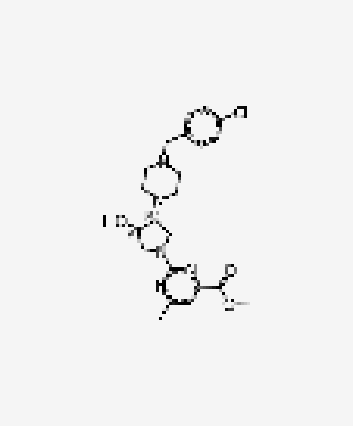 COC(=O)c1cc(C)nc(N2C[C@@H](O)[C@H](N3CCN(Cc4ccc(Cl)cc4)CC3)C2)n1